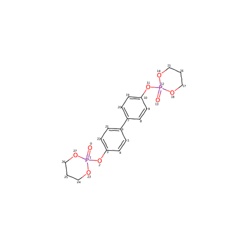 O=P1(Oc2ccc(-c3ccc(OP4(=O)OCCCO4)cc3)cc2)OCCCO1